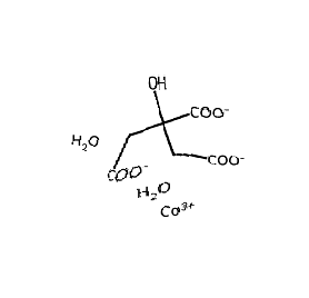 O.O.O=C([O-])CC(O)(CC(=O)[O-])C(=O)[O-].[Co+3]